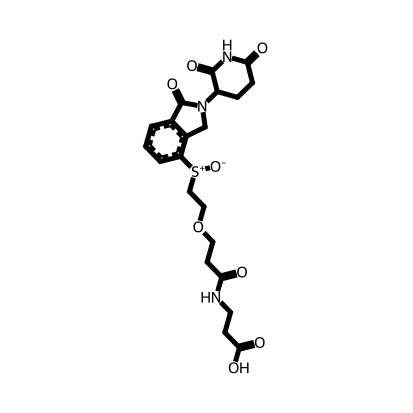 O=C(O)CCNC(=O)CCOCC[S+]([O-])c1cccc2c1CN(C1CCC(=O)NC1=O)C2=O